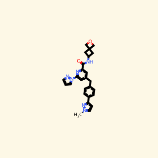 Cn1ccc(-c2ccc(Cc3cc(C(=O)NC4CC5(COC5)C4)nc(-n4cccn4)c3)cc2)n1